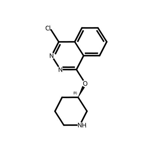 Clc1nnc(O[C@@H]2CCCNC2)c2ccccc12